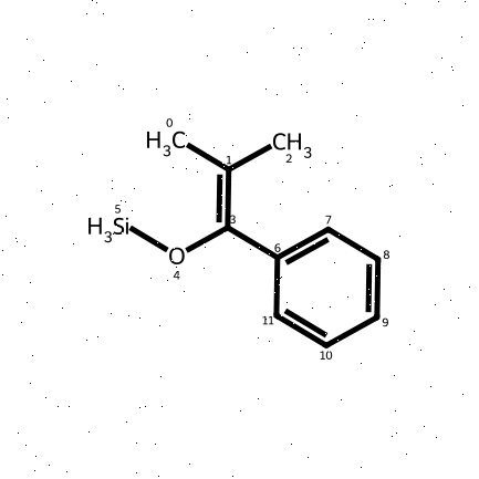 CC(C)=C(O[SiH3])c1ccccc1